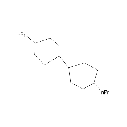 CCCC1CC=C(C2CCC(CCC)CC2)CC1